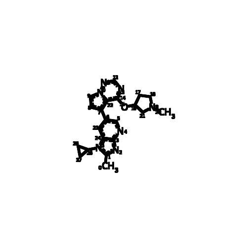 Cc1nc2ncc(-c3ccn4ncnc(OC5CCN(C)C5)c34)cc2n1C1CC1